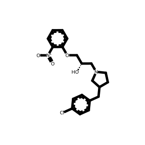 O=[N+]([O-])c1ccccc1OC[C@@H](O)CN1CCC(Cc2ccc(Cl)cc2)C1